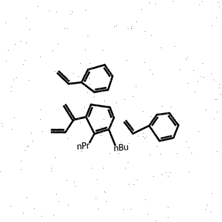 C=CC(=C)c1cccc(CCCC)c1CCC.C=Cc1ccccc1.C=Cc1ccccc1